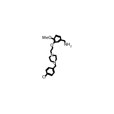 COc1ccc(CN)cc1OCCN1CCN(Cc2ccc(Cl)cc2)CC1